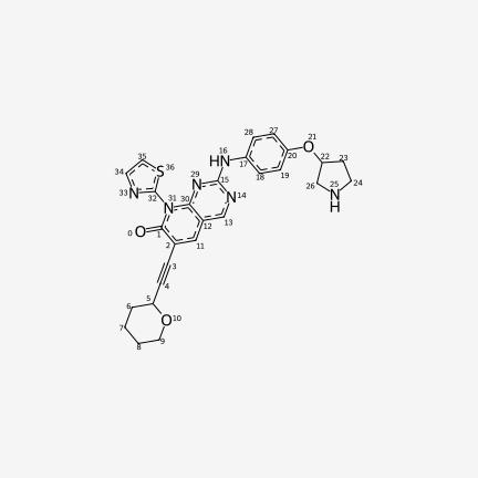 O=c1c(C#CC2CCCCO2)cc2cnc(Nc3ccc(OC4CCNC4)cc3)nc2n1-c1nccs1